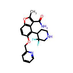 Cc1oc2ccc(OCc3ccccn3)c(C3CCNCC3(F)F)c2c1C(N)=O